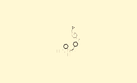 CN(c1ccc(C2OC2Nc2ccccc2N)cc1)C1CCN(CC2CC2)CC1